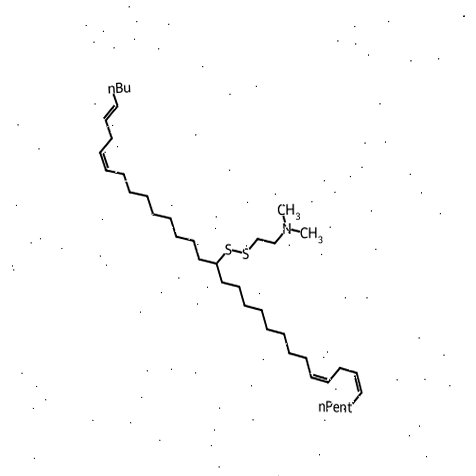 CCCC/C=C/C/C=C\CCCCCCCCC(CCCCCCCC/C=C\C/C=C\CCCCC)SSCCN(C)C